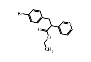 CCOC(=O)C(Cc1ccc(Br)cc1)c1cccnc1